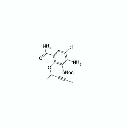 CC#CC(C)Oc1c(C(N)=O)cc(Cl)c(N)c1CCCCCCCCC